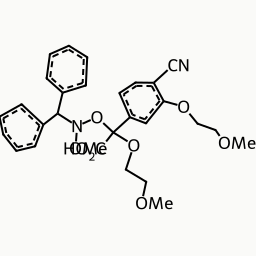 COCCOc1cc(C(OCCOC)(ON(OC)C(c2ccccc2)c2ccccc2)C(=O)O)ccc1C#N